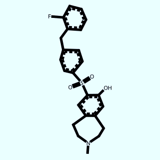 CN1CCc2cc(O)c(S(=O)(=O)c3ccc(Cc4ccccc4F)cc3)cc2CC1